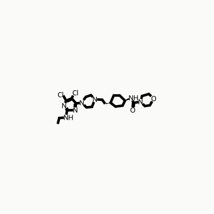 CCNc1nc(Cl)c(Cl)c(N2CCN(CC[C@H]3CC[C@H](NC(=O)N4CCOCC4)CC3)CC2)n1